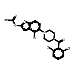 O=C(O)Oc1cc2c(Br)c(N3CCN(C(=O)c4c(Cl)cccc4Cl)CC3)ccc2o1